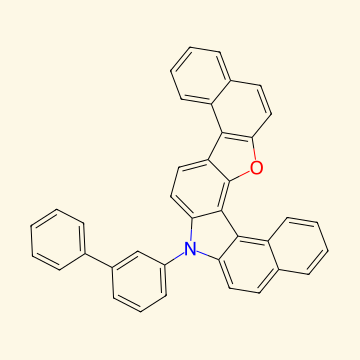 c1ccc(-c2cccc(-n3c4ccc5ccccc5c4c4c5oc6ccc7ccccc7c6c5ccc43)c2)cc1